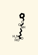 N[C@@H](CCCCNC(=O)COCc1ccccc1)C(=O)O